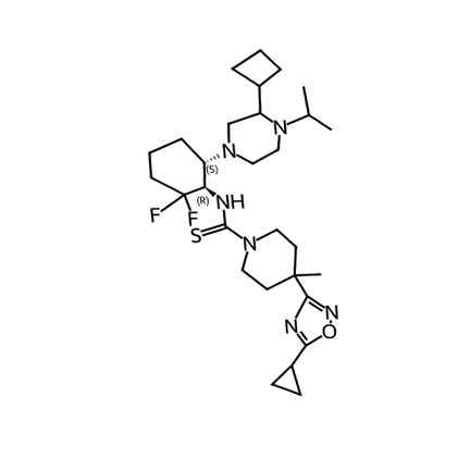 CC(C)N1CCN([C@H]2CCCC(F)(F)[C@@H]2NC(=S)N2CCC(C)(c3noc(C4CC4)n3)CC2)CC1C1CCC1